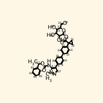 C[C@@H](OC(=O)Nc1c(-c2ccc(-c3ccc(C4(C(=O)OC5OC(C=O)C(O)C(O)C5O)CC4)cc3)cc2)cnn1C)c1ccccc1